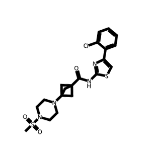 CS(=O)(=O)N1CCN(C23CC(C(=O)Nc4nc(-c5ccccc5Cl)cs4)(C2)C3)CC1